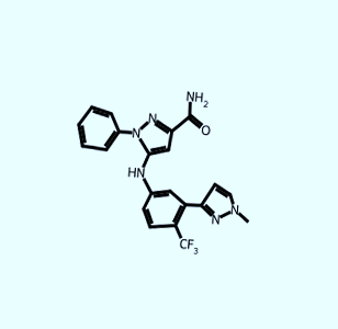 Cn1ccc(-c2cc(Nc3cc(C(N)=O)nn3-c3ccccc3)ccc2C(F)(F)F)n1